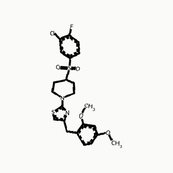 COc1ccc(Cc2csc(N3CCC(S(=O)(=O)c4ccc(F)c(Cl)c4)CC3)n2)c(OC)c1